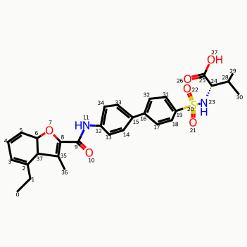 CCC1=CC=CC2OC(C(=O)Nc3ccc(-c4ccc(S(=O)(=O)N[C@H](C(=O)O)C(C)C)cc4)cc3)=C(C)C12